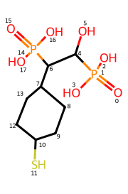 O=P(O)(O)C(O)C(C1CCC(S)CC1)P(=O)(O)O